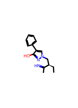 CC[C@H](Cn1cc(-c2ccccc2)c(O)n1)C(C)=N